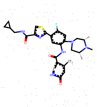 C[C@@H]1CN(c2cc(F)c(-c3nc(C(=O)NCC4CC4)cs3)cc2NC(=O)c2c[nH]c(=O)cc2C(F)(F)F)C[C@H](C)N1C